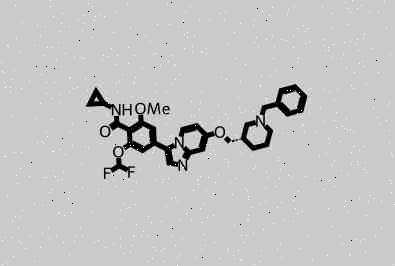 COc1cc(-c2cnc3cc(OC[C@H]4CCCN(Cc5ccccc5)C4)ccn23)cc(OC(F)F)c1C(=O)NC1CC1